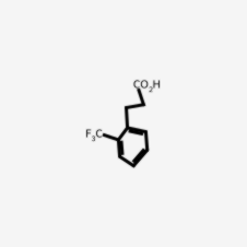 O=C(O)CCc1ccccc1C(F)(F)F